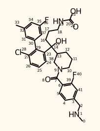 CNCc1ccc(C(=O)N2CCCC(C(O)(CCCNC(=O)O)c3cccc(Cl)c3-c3cc(C)cc(F)c3)C2)c(F)c1